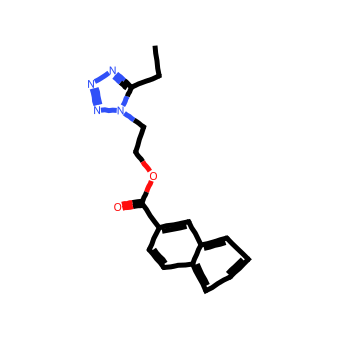 CCc1nnnn1CCOC(=O)c1ccc2ccccc2c1